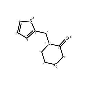 O=C1COCCN1Cc1cccs1